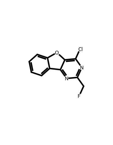 FCc1nc(Cl)c2oc3ccccc3c2n1